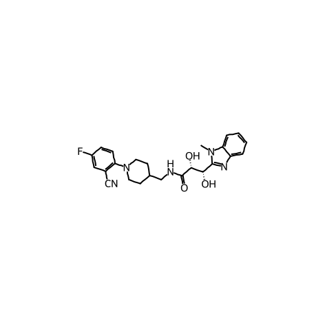 Cn1c([C@H](O)[C@@H](O)C(=O)NCC2CCN(c3ccc(F)cc3C#N)CC2)nc2ccccc21